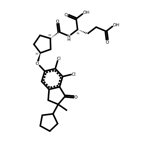 CC1(C2CCCC2)Cc2cc(O[C@H]3CC[C@H](C(=O)N[C@@H](CCC(=O)O)C(=O)O)C3)c(Cl)c(Cl)c2C1=O